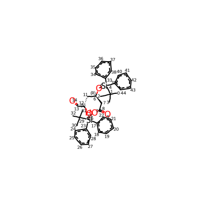 CC(C)(C)[Si](O[C@@H](CC(=O)O)C[C@@H](C=O)O[Si](c1ccccc1)(c1ccccc1)C(C)(C)C)(c1ccccc1)c1ccccc1